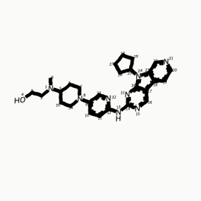 CN(CCO)C1CCN(c2ccc(Nc3ncc4c5ccncc5n(C5CCCC5)c4n3)nc2)CC1